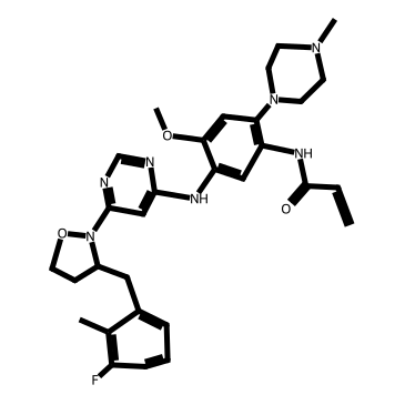 C=CC(=O)Nc1cc(Nc2cc(N3OCCC3Cc3cccc(F)c3C)ncn2)c(OC)cc1N1CCN(C)CC1